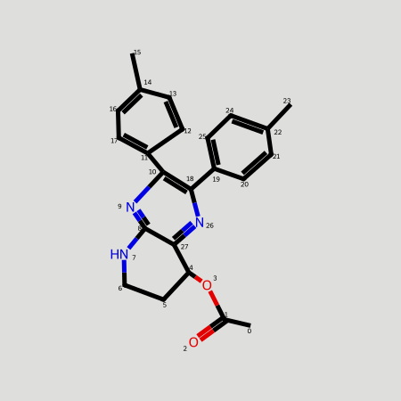 CC(=O)OC1CCNc2nc(-c3ccc(C)cc3)c(-c3ccc(C)cc3)nc21